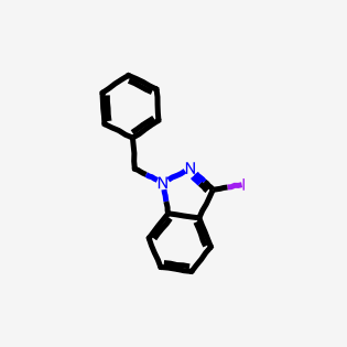 Ic1nn(Cc2ccccc2)c2ccccc12